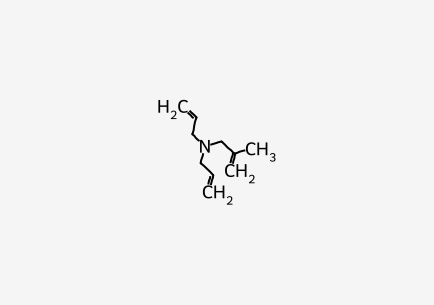 C=CCN(CC=C)CC(=C)C